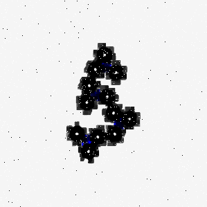 c1ccc(-n2c3ccccc3c3cc(-c4cccc(-n5c6ccccc6c6cc(-c7cccc(-n8c9ccccc9c9ccc(-c%10ccc%11c%12ccccc%12n(-c%12ccccc%12)c%11c%10)cc98)c7)ccc65)c4)ccc32)cc1